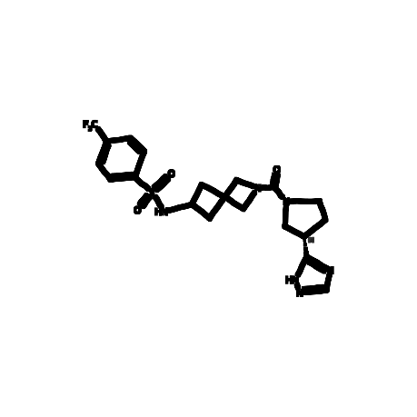 O=C(N1CC[C@H](c2ncn[nH]2)C1)N1CC2(CC(NS(=O)(=O)c3ccc(C(F)(F)F)cc3)C2)C1